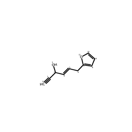 C#CC(O)C=CCc1ccco1